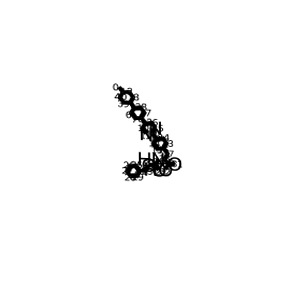 CC1CCC(c2ccc(-c3cnc(-c4ccc(CC(NC(=O)OCc5ccccc5)C(=O)O)cc4)nc3)cc2)CC1